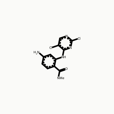 CNC(=O)c1ccc(N)cc1Nc1nc(Cl)ncc1Cl